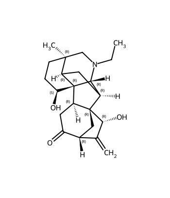 C=C1[C@H]2C[C@@]3([C@@H]1O)[C@@H](CC2=O)[C@]12[C@@H]4C[C@H]3[C@H]1N(CC)C[C@]4(C)CC[C@@H]2O